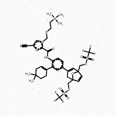 CC1(C)CC=C(c2cc(C3=CC4(COS(=O)(=O)C(F)(F)F)C=CC(COS(=O)(=O)C(F)(F)F)(C3)O4)ccc2NC(=O)c2nc(C#N)cn2COCC[Si](C)(C)C)CC1